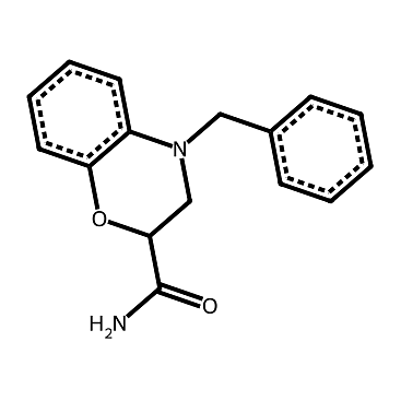 NC(=O)C1CN(Cc2ccccc2)c2ccccc2O1